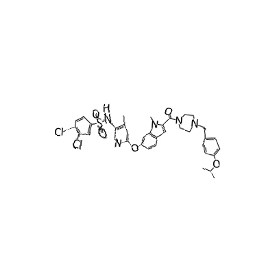 Cc1cc(Oc2ccc3cc(C(=O)N4CCN(Cc5ccc(OC(C)C)cc5)CC4)n(C)c3c2)ncc1NS(=O)(=O)c1ccc(Cl)c(Cl)c1